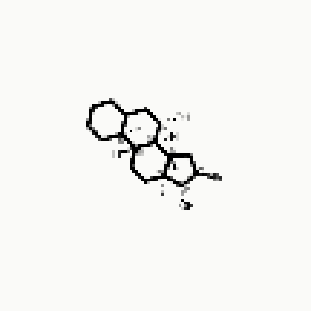 C[C@]12CC[C@H]3[C@@H]([C@@H](O)CC4CCCC[C@@]43C)[C@@H]1C[C@@H](Br)[C@@H]2O